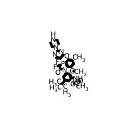 COc1c(NS(C)(=O)=O)cc(C(C)(C)C)cc1N(C(=O)C(F)(F)F)c1ccc(C)c(Oc2ccnc(N3CCNCC3)n2)c1